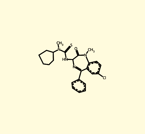 CN1C(=O)C(NC(=S)N(C)C2CCCCC2)N=C(c2ccccc2)c2cc(Cl)ccc21